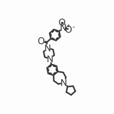 O=C(c1ccc([N+](=O)[O-])cc1)N1CCN(c2ccc3c(c2)CCN(C2CCCC2)CC3)CC1